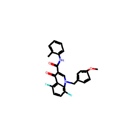 COc1ccc(Cn2cc(C(=O)Nc3ccccc3C)c(=O)c3c(F)ccc(F)c32)cc1